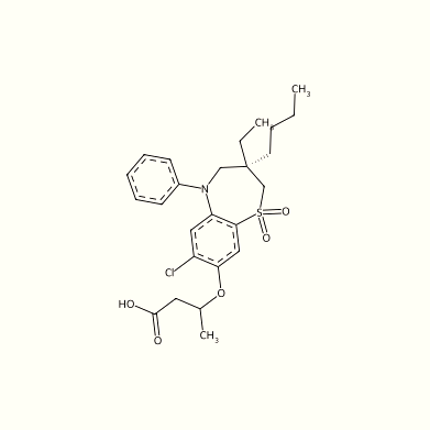 CCCC[C@@]1(CC)CN(c2ccccc2)c2cc(Cl)c(OC(C)CC(=O)O)cc2S(=O)(=O)C1